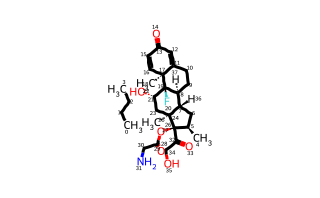 CCCC.C[C@@H]1C[C@H]2[C@@H]3CCC4=CC(=O)C=C[C@]4(C)[C@@]3(F)[C@@H](O)C[C@]2(C)[C@@]1(OC(=O)CN)C(=O)CO